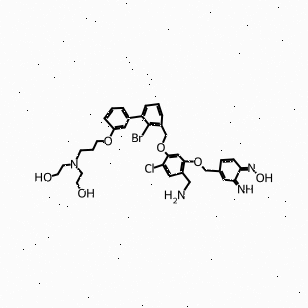 N=C1C=C(COc2cc(OCc3cccc(-c4cccc(OCCCN(CCO)CCO)c4)c3Br)c(Cl)cc2CN)C=C/C1=N/O